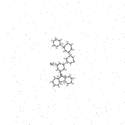 N#Cc1cc(-c2cccc(-c3cccc(-c4ccccc4)c3)c2)cc(-n2c3ccccc3c3ccccc32)c1